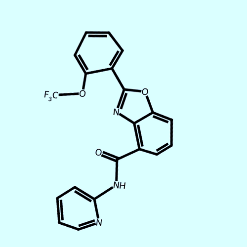 O=C(Nc1ccccn1)c1cccc2oc(-c3ccccc3OC(F)(F)F)nc12